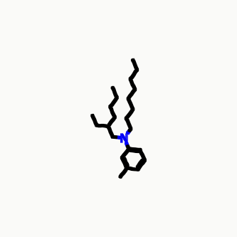 CCCCCCCCN(CC(CC)CCCC)c1cccc(C)c1